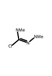 CN/N=C(/Cl)NC